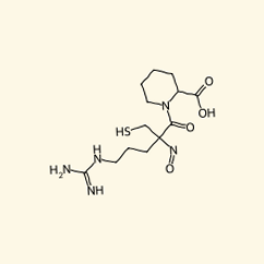 N=C(N)NCCCC(CS)(N=O)C(=O)N1CCCCC1C(=O)O